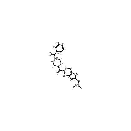 CN(C)Cc1cc2c(o1)CCN(C(=O)C1CCN(C(=O)c3ccccc3)CC1)C2